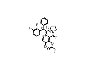 CCC(=O)Oc1c2n(ncc1=O)[C@@H]([C@H](c1ccccc1)c1cccc(F)c1F)[C@H]1CCCN1C2=O